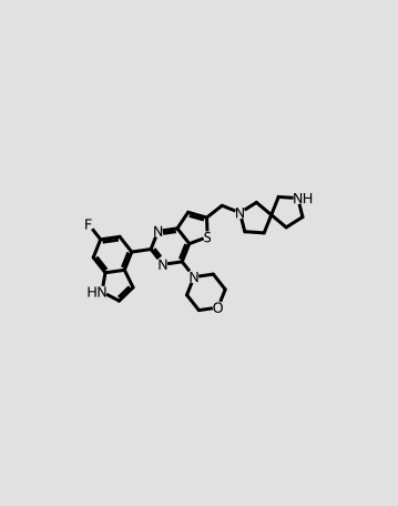 Fc1cc(-c2nc(N3CCOCC3)c3sc(CN4CCC5(CCNC5)C4)cc3n2)c2cc[nH]c2c1